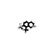 O=S(=O)(F)c1ccc2c(c1C(F)(F)F)CNCC2